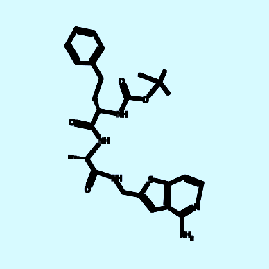 C[C@H](NC(=O)[C@@H](CCc1ccccc1)NC(=O)OC(C)(C)C)C(=O)NCc1cc2c(N)nccc2s1